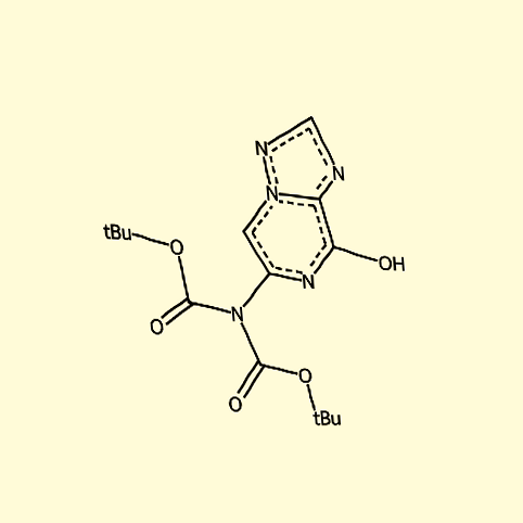 CC(C)(C)OC(=O)N(C(=O)OC(C)(C)C)c1cn2ncnc2c(O)n1